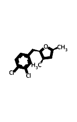 C[C@@H]1C[C@H](C)O[C@@H]1Cc1ccc(Cl)c(Cl)c1